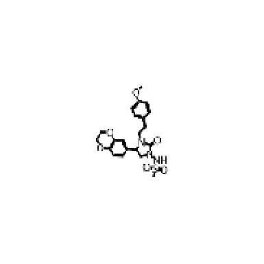 COc1ccc(CCN2C(=O)N(NS(C)(=O)=O)CC2c2ccc3c(c2)OCCO3)cc1